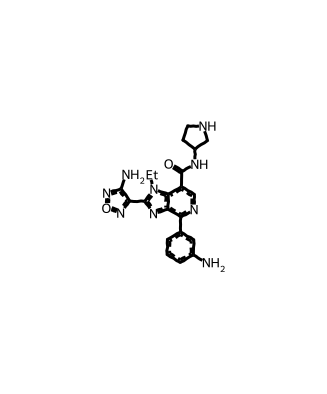 CCn1c(-c2nonc2N)nc2c(-c3cccc(N)c3)ncc(C(=O)NC3CCNC3)c21